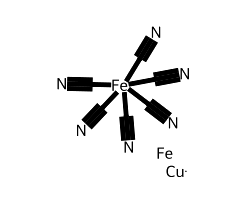 N#[C][Fe]([C]#N)([C]#N)([C]#N)([C]#N)[C]#N.[Cu].[Fe]